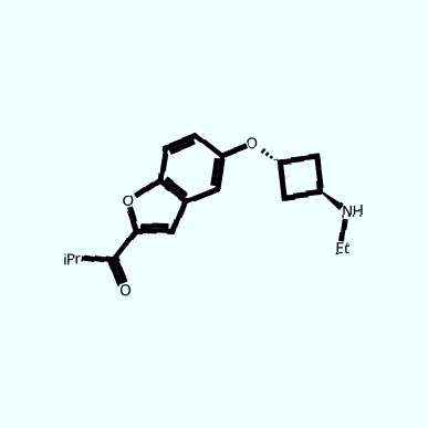 CCN[C@H]1C[C@H](Oc2ccc3oc(C(=O)C(C)C)cc3c2)C1